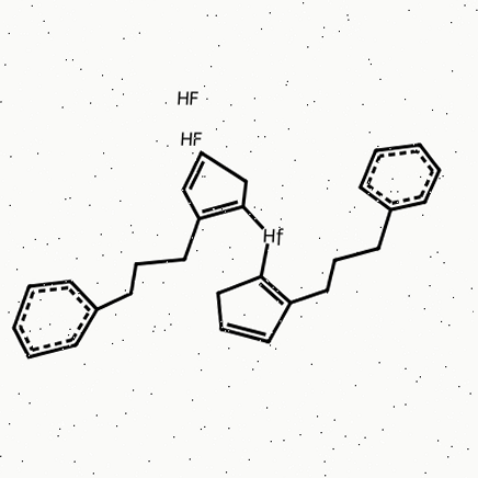 C1=CC(CCCc2ccccc2)=[C]([Hf][C]2=C(CCCc3ccccc3)C=CC2)C1.F.F